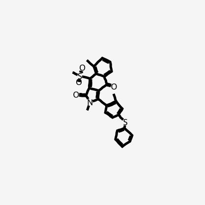 Cc1cc(Sc2ccccc2)ccc1C1=C2C(=O)c3cccc(C)c3C(S(C)(=O)=O)=C2C(=O)N1C